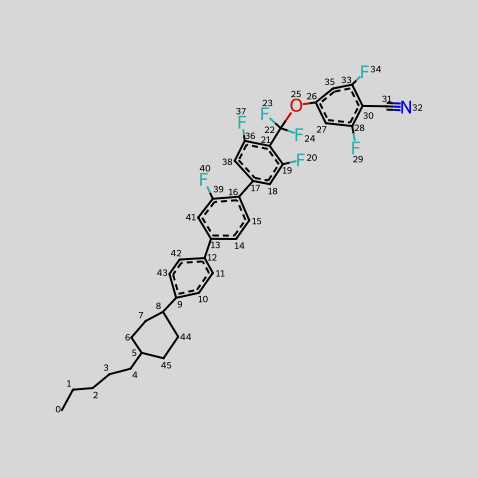 CCCCCC1CCC(c2ccc(-c3ccc(-c4cc(F)c(C(F)(F)Oc5cc(F)c(C#N)c(F)c5)c(F)c4)c(F)c3)cc2)CC1